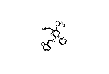 Cc1cnc(NCc2ccco2)nc1CC#N.c1ccncc1